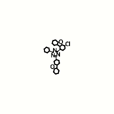 Clc1ccc(-c2nc(-c3ccccc3)nc(-c3ccc4c(c3)oc3ccccc34)n2)c2c1oc1ccccc12